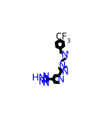 CN(CCn1cnc(-c2cc(-c3nn[nH]n3)ccn2)c1)Cc1ccc(C(F)(F)F)cc1